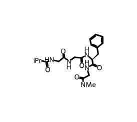 CNC(=O)CNC(=O)[C@H](Cc1ccccc1)NC(=O)CNC(=O)CNC(=O)C(C)C